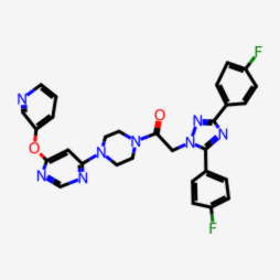 O=C(Cn1nc(-c2ccc(F)cc2)nc1-c1ccc(F)cc1)N1CCN(c2cc(Oc3cccnc3)ncn2)CC1